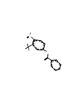 O=C(Nc1ccc([N+](=O)[O-])c(C(F)(F)F)c1)c1ccccc1